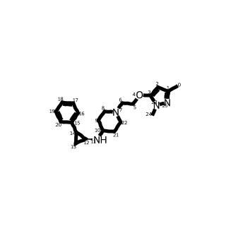 Cc1cc(OCCN2CCC(N[C@@H]3CC3c3ccccc3)CC2)n(C)n1